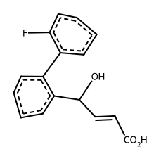 O=C(O)C=CC(O)c1ccccc1-c1ccccc1F